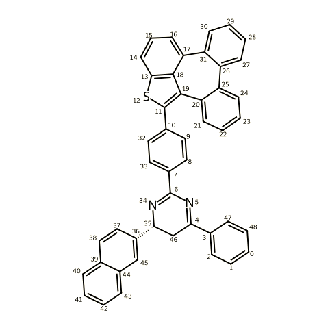 c1ccc(C2=NC(c3ccc(-c4sc5cccc6c5c4-c4ccccc4-c4ccccc4-6)cc3)=N[C@@H](c3ccc4ccccc4c3)C2)cc1